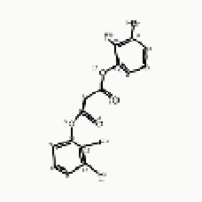 O=C(CC(=O)Oc1cccc(Br)c1F)Oc1cccc(Br)c1F